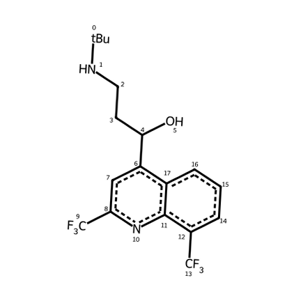 CC(C)(C)NCCC(O)c1cc(C(F)(F)F)nc2c(C(F)(F)F)cccc12